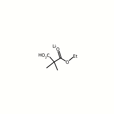 CCOC(=O)C(C)(C)C(=O)O.[Li]